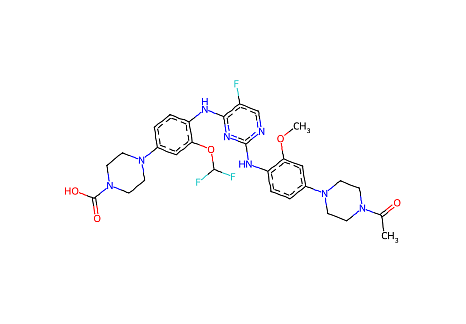 COc1cc(N2CCN(C(C)=O)CC2)ccc1Nc1ncc(F)c(Nc2ccc(N3CCN(C(=O)O)CC3)cc2OC(F)F)n1